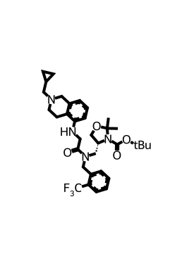 CC(C)(C)OC(=O)N1[C@H](CN(Cc2ccccc2C(F)(F)F)C(=O)CNc2cccc3c2CCN(CC2CC2)C3)COC1(C)C